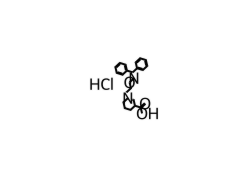 Cl.O=C(O)C1CCCN(CCON=C(c2ccccc2)c2ccccc2)C1